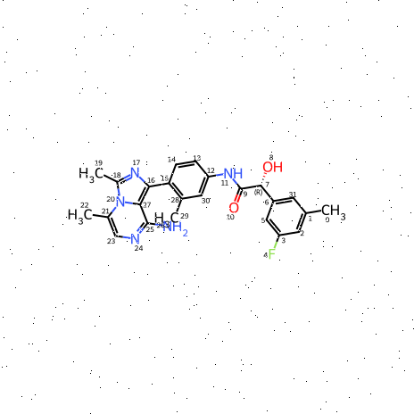 Cc1cc(F)cc([C@@H](O)C(=O)Nc2ccc(-c3nc(C)n4c(C)cnc(N)c34)c(C)c2)c1